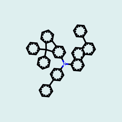 c1ccc(-c2ccc(N(c3ccc4c(c3)C(c3ccccc3)(c3ccccc3)c3ccccc3-4)c3cccc4c3ccc3c(-c5ccccc5)cccc34)cc2)cc1